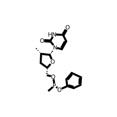 C[C@H]1C[C@@H](COP(C)Oc2ccccc2)O[C@H]1n1ccc(=O)[nH]c1=O